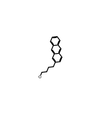 [O]CCCCc1ccc2cc3ccccc3cc2c1